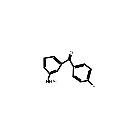 CC(=O)Nc1cccc(C(=O)c2ccc(F)cc2)c1